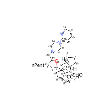 CCCCCC1CC(C23C[C@@H]4[C@H](C)CC[C@H]4C4(C=O)CC2C=C(C(C)C)[C@@]34C(=O)O)OC1CN1CCN(c2ccccn2)CC1